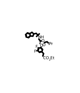 CCOC(=O)CCc1cc(F)c(F)c(OC[C@@H](CNC(C)(C)CC2Cc3ccccc3C2)OC(=O)CC(C)C)c1